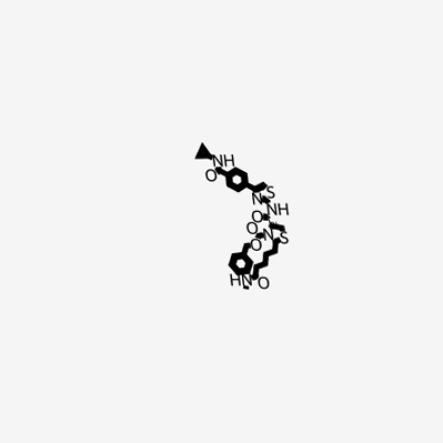 CNC(=O)CCCCC1SC[C@@H](C(=O)Nc2nc(-c3ccc(C(=O)NC4CC4)cc3)cs2)N1C(=O)OCc1ccccc1